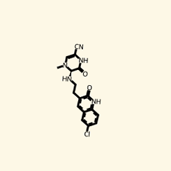 CN1C=C(C#N)NC(=O)[C@H]1NCCc1cc2cc(Cl)ccc2[nH]c1=O